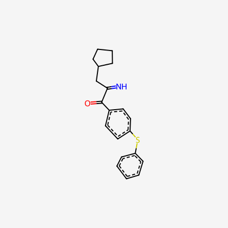 N=C(CC1CCCC1)C(=O)c1ccc(Sc2ccccc2)cc1